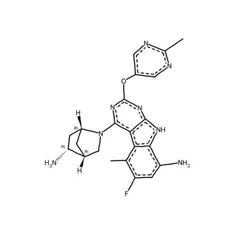 Cc1ncc(Oc2nc(N3C[C@H]4C[C@@H]3C[C@H]4N)c3c(n2)[nH]c2c(N)cc(F)c(C)c23)cn1